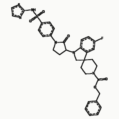 O=C(OCc1ccccc1)N1CCC2(CC1)CN(C1CCN(c3ccc(S(=O)(=O)Nc4nccs4)cc3)C1=O)c1ccc(F)cc12